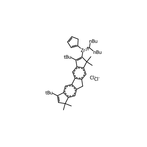 CCCC[C](CCCC)=[Zr+2]([C]1=CC=CC1)[C]1=C(C(C)(C)C)c2cc3c(cc2C1(C)C)Cc1cc2c(cc1-3)C(C(C)(C)C)=CC2(C)C.[Cl-].[Cl-]